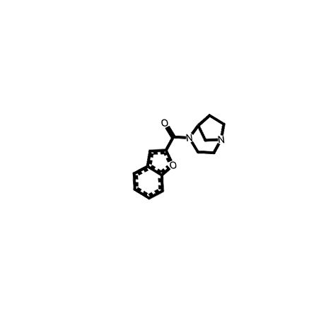 O=C(c1cc2ccccc2o1)N1CCN2CCC1C2